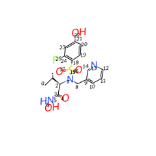 CC[C@H](C(=O)NO)N(Cc1cccnc1)S(=O)(=O)c1ccc(O)cc1F